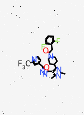 Cc1nc(C)c(-c2nnc(-c3ccnc(C(F)(F)F)c3)o2)c(C2CCN(C(=O)Cc3c(F)cccc3F)CC2)n1